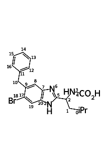 CC(C)CC(NC(=O)O)c1nc2cc(Cc3ccccc3)c(Br)cc2[nH]1